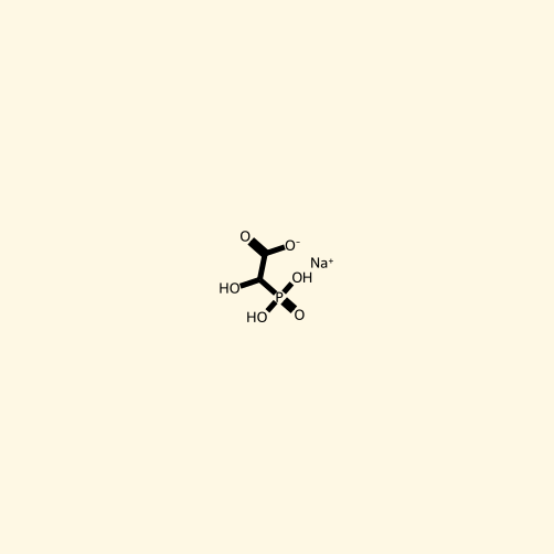 O=C([O-])C(O)P(=O)(O)O.[Na+]